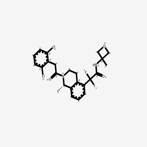 C[C@H]1c2cccc(C(F)(F)C(=O)NC3(C)COC3)c2CCN1C(=O)Cc1c(Cl)cccc1Cl